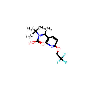 CC(c1ccc(OCC(F)(F)F)nc1)N(C(=O)O)C(C)(C)C